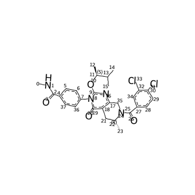 CNC(=O)c1ccc(-n2c(O[C@@H](C)C(C)C)nc3c(c2=O)C[C@@H](C)N(C(=O)c2ccc(Cl)c(Cl)c2)C3)cc1